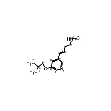 CNCC/C=C/c1cncc(OCC(C)C)c1